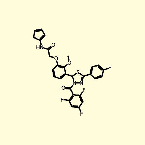 COc1c(OCC(=O)NC2=CC=CC2)cccc1C1SC(c2ccc(F)cc2)=NN1C(=O)c1c(F)cc(F)cc1F